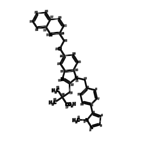 Cn1nccc1-c1ccc(Cn2c(CC(C)(C)C(=O)O)nc3cc(OCc4ccc5ccccc5n4)ccc32)cc1